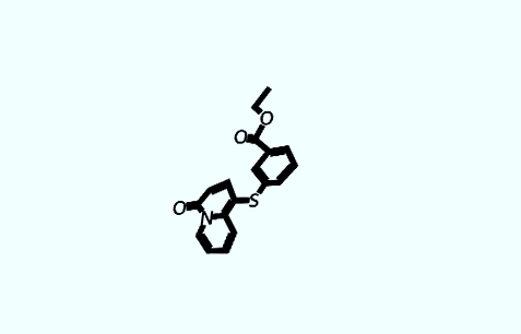 CCOC(=O)c1cccc(Sc2ccc(=O)n3ccccc23)c1